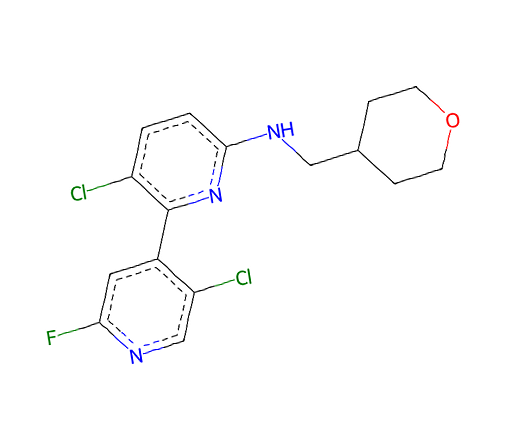 Fc1cc(-c2nc(NCC3CCOCC3)ccc2Cl)c(Cl)cn1